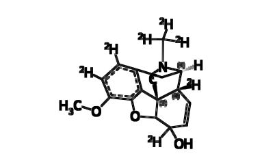 [2H]c1c([2H])c(OC)c2c3c1C[C@H]1N(C([2H])([2H])[2H])CC[C@@]34C(O2)C([2H])(O)C=C[C@@]14[2H]